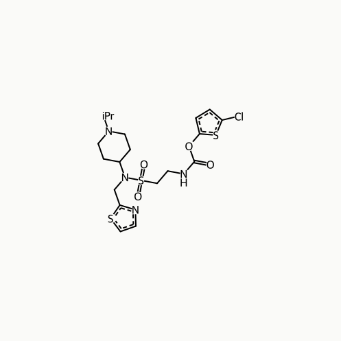 CC(C)N1CCC(N(Cc2nccs2)S(=O)(=O)CCNC(=O)Oc2ccc(Cl)s2)CC1